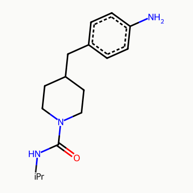 CC(C)NC(=O)N1CCC(Cc2ccc(N)cc2)CC1